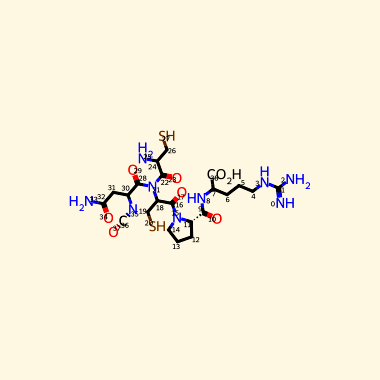 N=C(N)NCCCC(NC(=O)[C@@H]1CCCN1C(=O)C(CS)N(C(=O)C(N)CS)C(=O)C(CC(N)=O)N=C=O)C(=O)O